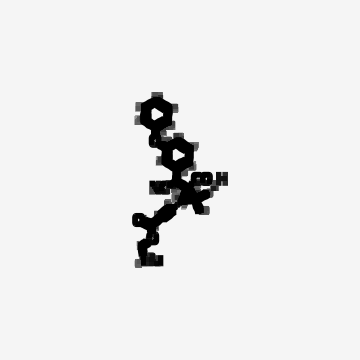 CC(C)(C)COC(=O)C#C[C@H]1C(C)(C)[C@]1(C(=O)O)[C@@H](C#N)c1cccc(Oc2ccccc2)c1